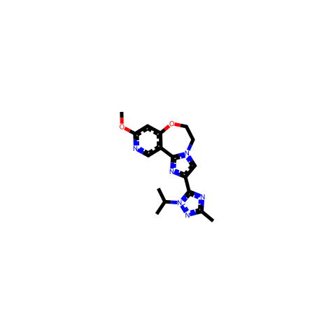 COc1cc2c(cn1)-c1nc(-c3nc(C)nn3C(C)C)cn1CCO2